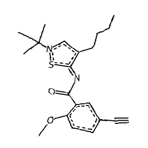 C#Cc1ccc(OC)c(C(=O)N=c2sn(C(C)(C)C)cc2CCCC)c1